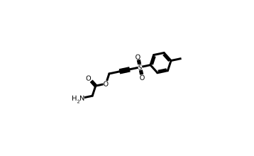 Cc1ccc(S(=O)(=O)C#CCOC(=O)CN)cc1